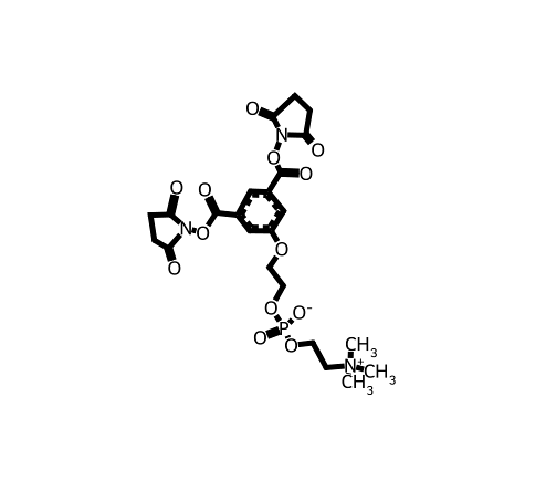 C[N+](C)(C)CCOP(=O)([O-])OCCOc1cc(C(=O)ON2C(=O)CCC2=O)cc(C(=O)ON2C(=O)CCC2=O)c1